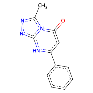 Cc1nnc2[nH]c(-c3ccccc3)cc(=O)n12